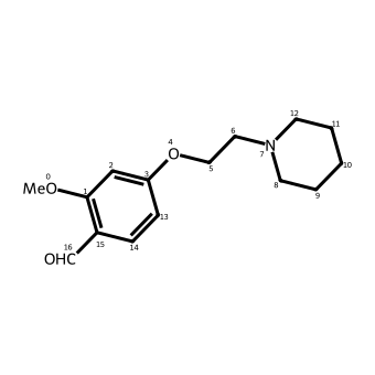 COc1cc(OCCN2CCCCC2)ccc1C=O